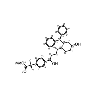 COC(=O)C(C)(C)c1ccc(C(O)CCCN2CCC(O)CC2C(c2ccccc2)c2ccccc2)cc1